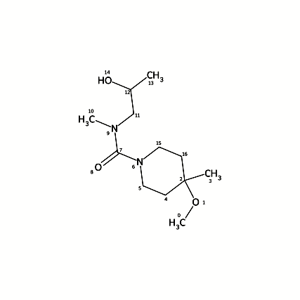 COC1(C)CCN(C(=O)N(C)CC(C)O)CC1